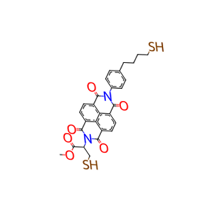 COC(=O)C(CS)N1C(=O)c2ccc3c4c(ccc(c24)C1=O)C(=O)N(c1ccc(CCCCS)cc1)C3=O